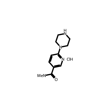 CNC(=O)c1ccc(N2CCNCC2)nc1.Cl